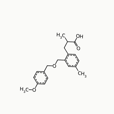 COc1ccc(COCc2cc(C)ccc2CC(C)C(=O)O)cc1